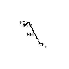 CCCCCCCCCCCCCCOc1ccc(C(=O)O)o1.[NaH]